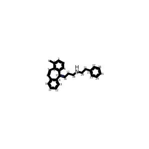 Cc1cccc2c1C=Cc1ccccc1/C2=C/CCNCCc1ccccc1